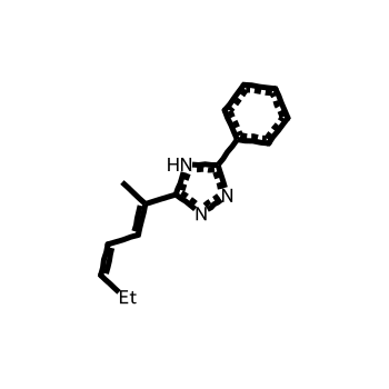 CC/C=C\C=C(/C)c1nnc(-c2ccccc2)[nH]1